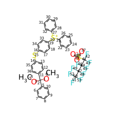 COC(OC)(c1ccccc1)c1ccc(Sc2ccc([S+](c3ccccc3)c3ccccc3)cc2)cc1.O=S(=O)([O-])C(F)(F)C(F)(F)C(F)(F)C(F)(F)F